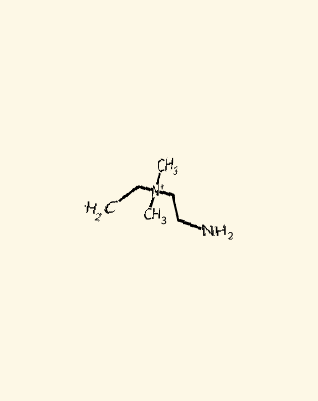 [CH2]C[N+](C)(C)CCN